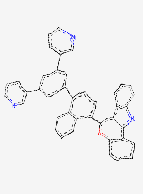 c1cncc(-c2cc(-c3cccnc3)cc(-c3ccc(-c4oc5ccccc5c5nc6ccccc6c4-5)c4ccccc34)c2)c1